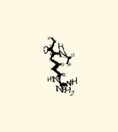 CCC(=O)C(CCCCNC(=N)N)NC(C)C